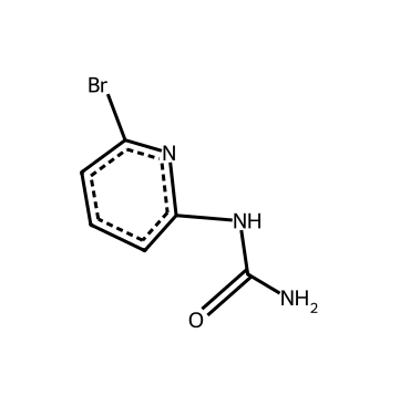 NC(=O)Nc1cccc(Br)n1